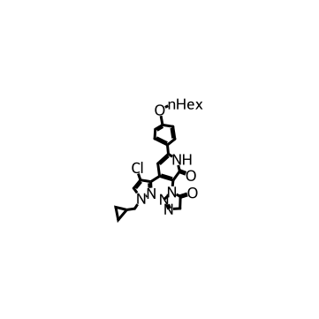 CCCCCCOc1ccc(-c2cc(-c3nn(CC4CC4)cc3Cl)c(N3N=NCC3=O)c(=O)[nH]2)cc1